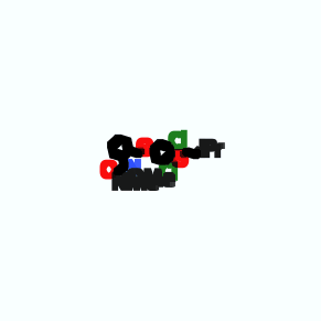 CNC(=O)C(=NOC)c1ccccc1COc1cc(Cl)c(OCCC(C)C)c(Cl)c1